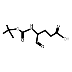 CC(C)(C)OC(=O)NC([C]=O)CCC(=O)O